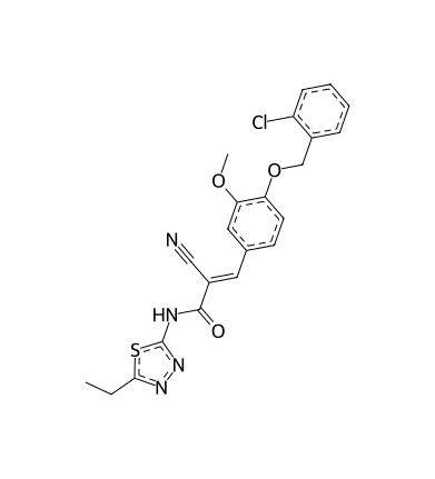 CCc1nnc(NC(=O)/C(C#N)=C/c2ccc(OCc3ccccc3Cl)c(OC)c2)s1